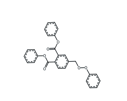 O=C(Oc1ccccc1)c1ccc(COOc2ccccc2)cc1C(=O)Oc1ccccc1